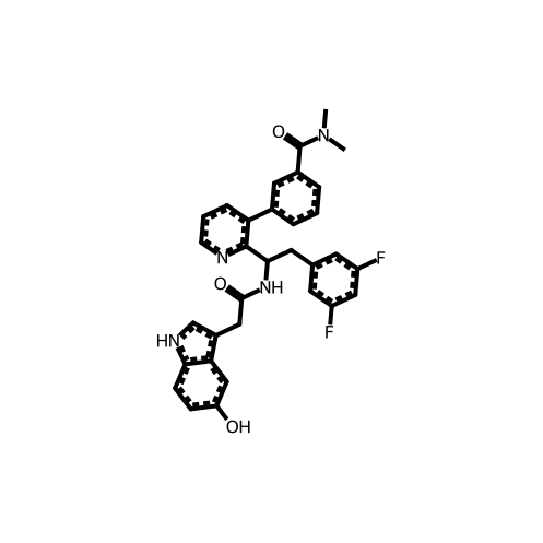 CN(C)C(=O)c1cccc(-c2cccnc2C(Cc2cc(F)cc(F)c2)NC(=O)Cc2c[nH]c3ccc(O)cc23)c1